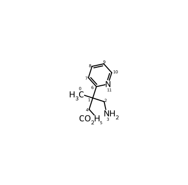 CC(CN)(CC(=O)O)c1ccccn1